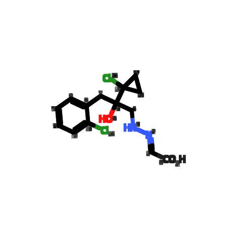 O=C(O)/C=N/NCC(O)(Cc1ccccc1Cl)C1(Cl)CC1